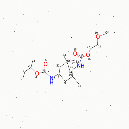 CCC(C)OC(=O)NC(CC(C)CNC(=O)OCCOC)CC(C)(C)C